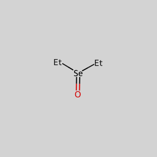 CC[Se](=O)CC